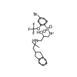 CN(CC(O)CNC(C)(C)CC1Cc2ccccc2C1)S(=O)(=O)c1ccc(Br)cc1OC(F)(F)F